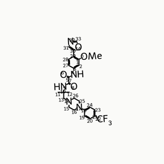 COc1cc(NC(=O)C(=O)NC(C)(C)CN2CCN(c3ccc(C(F)(F)F)cc3)CC2)ccc1-c1cnco1